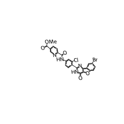 COC(=O)c1ccc(C(=O)Nc2ccc(-c3nc4c(oc5ccc(Br)cc54)c(=O)[nH]3)c(Cl)c2)nc1